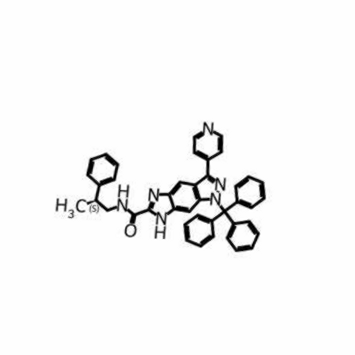 C[C@H](CNC(=O)c1nc2cc3c(-c4ccncc4)nn(C(c4ccccc4)(c4ccccc4)c4ccccc4)c3cc2[nH]1)c1ccccc1